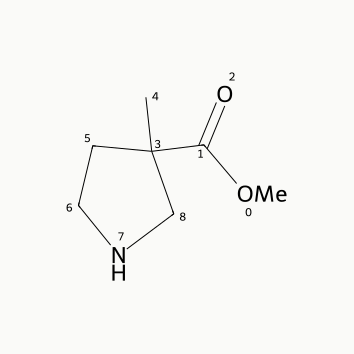 COC(=O)C1(C)CCNC1